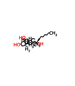 CCCCCCC#C[C@](C)(O)[C@H]1CC[C@H]2[C@@H]3C[C@H](O)[C@H]4C[C@@H](O)CC[C@]4(C)[C@H]3CC[C@@]21C